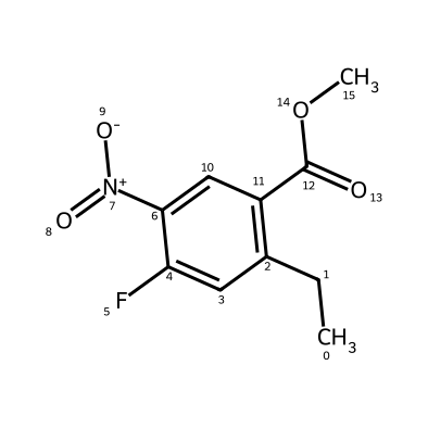 CCc1cc(F)c([N+](=O)[O-])cc1C(=O)OC